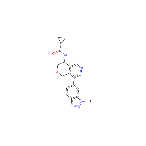 Cn1ncc2ccc(-c3cncc4c3COCC4NC(=O)C3CC3)cc21